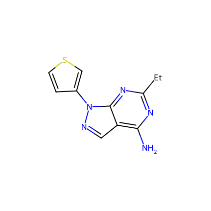 CCc1nc(N)c2cnn(-c3ccsc3)c2n1